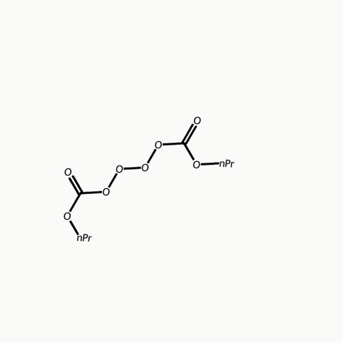 CCCOC(=O)OOOOC(=O)OCCC